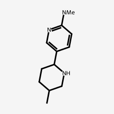 CNc1ccc(C2CCC(C)CN2)cn1